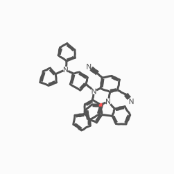 N#Cc1ccc(C#N)c(-n2c3ccccc3c3ccccc32)c1N(c1ccc(N(c2ccccc2)c2ccccc2)cc1)c1ccc2ccccc2c1